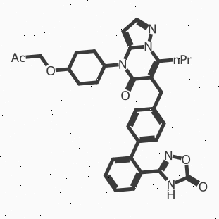 CCCc1c(Cc2ccc(-c3ccccc3-c3noc(=O)[nH]3)cc2)c(=O)n(C2CCC(OCC(C)=O)CC2)c2ccnn12